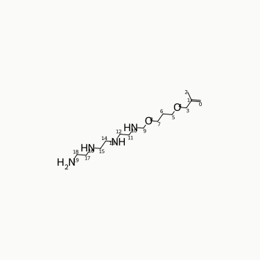 C=C(C)COCCCOCNCCNCCNCCN